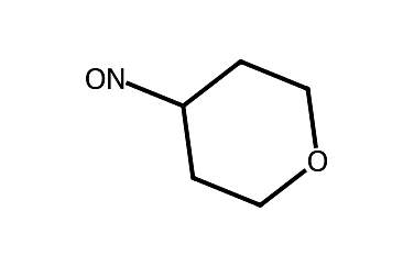 O=NC1CCOCC1